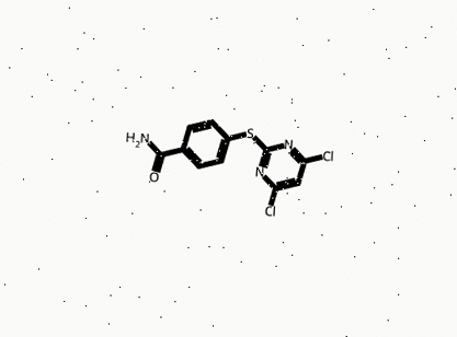 NC(=O)c1ccc(Sc2nc(Cl)cc(Cl)n2)cc1